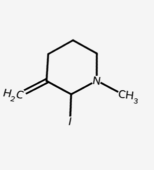 C=C1CCCN(C)C1I